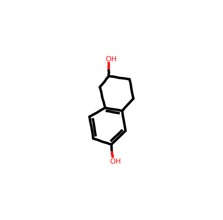 Oc1ccc2c(c1)CCC(O)C2